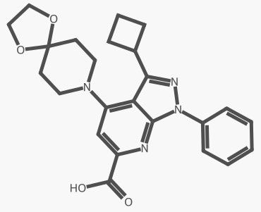 O=C(O)c1cc(N2CCC3(CC2)OCCO3)c2c(C3CCC3)nn(-c3ccccc3)c2n1